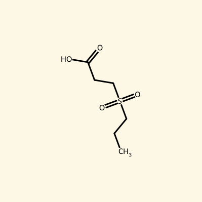 CCCS(=O)(=O)CCC(=O)O